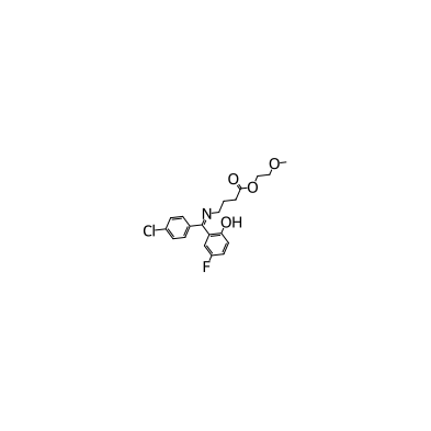 COCCOC(=O)CCCN=C(c1ccc(Cl)cc1)c1cc(F)ccc1O